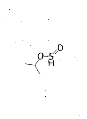 CC(C)O[SH]=O